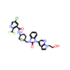 O=C(NC1CCC(Cn2c(=O)n(-c3cnc4c(ccn4CCO)c3)c3ccccc32)CC1)c1cc(Cl)cnc1C(F)F